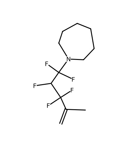 C=C(C)C(F)(F)C(F)C(F)(F)N1CCCCCC1